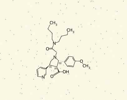 CCCCN(CCCC)C(=O)CN1C[C@H](c2cccnc2)[C@H](C(=O)O)[C@H]1c1ccc(OC)cc1